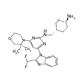 CC1(C)COCCN1c1cc(-n2c(C(F)F)nc3ccccc32)nc(NC[C@H]2CC[C@H](N)CC2)n1